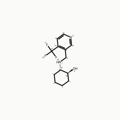 O[C@H]1CCCC[C@@H]1NCc1cnccc1C(F)(F)F